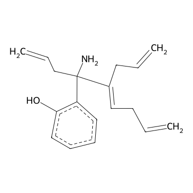 C=CCC=C(CC=C)C(N)(CC=C)c1ccccc1O